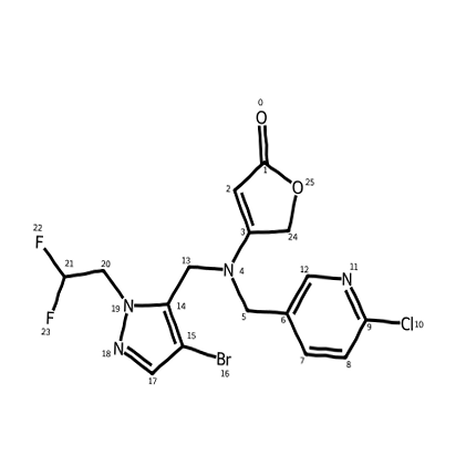 O=C1C=C(N(Cc2ccc(Cl)nc2)Cc2c(Br)cnn2CC(F)F)CO1